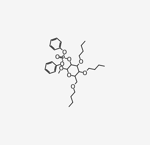 CCCCOCC1OC(OC)C(OP(=O)(Oc2ccccc2)Oc2ccccc2)C(OCCCC)C1OCCCC